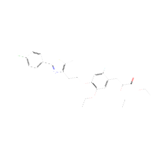 CCOC(=O)C(Cc1cc(OCC)c(OCCc2nc(-c3ccc(Cl)cc3)sc2C)cc1F)OCC